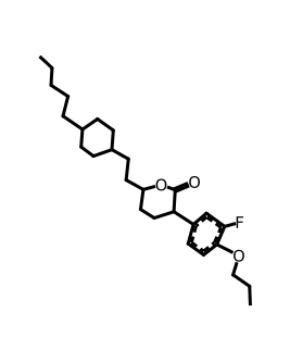 CCCCCC1CCC(CCC2CCC(c3ccc(OCCC)c(F)c3)C(=O)O2)CC1